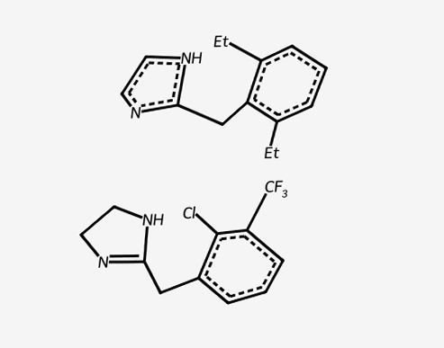 CCc1cccc(CC)c1Cc1ncc[nH]1.FC(F)(F)c1cccc(CC2=NCCN2)c1Cl